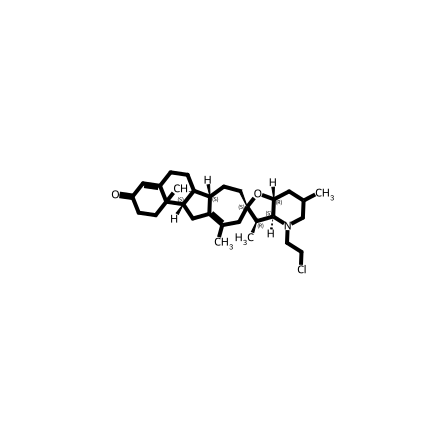 CC1=C2C[C@H]3C(CCC4=CC(=O)CCC43C)[C@@H]2CC[C@@]2(C1)O[C@@H]1CC(C)CN(CCCl)[C@H]1[C@H]2C